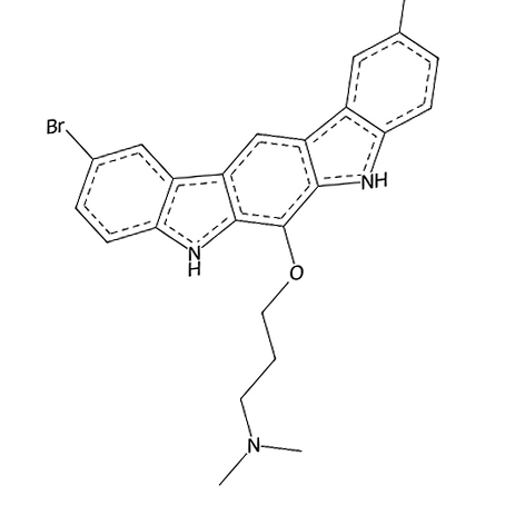 CN(C)CCCOc1c2[nH]c3ccc(Br)cc3c2cc2c1[nH]c1ccc(Br)cc12